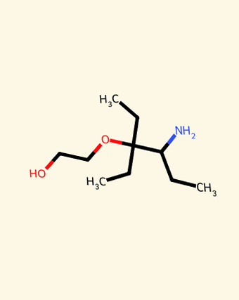 CCC(N)C(CC)(CC)OCCO